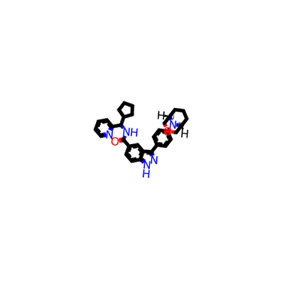 O=C(NC(c1ccccn1)C1CCCC1)c1ccc2[nH]nc(-c3ccc(N4[C@@H]5CCC[C@H]4COC5)cc3)c2c1